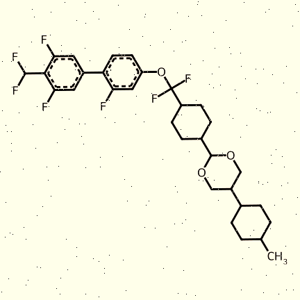 CC1CCC(C2COC(C3CCC(C(F)(F)Oc4ccc(-c5cc(F)c(C(F)F)c(F)c5)c(F)c4)CC3)OC2)CC1